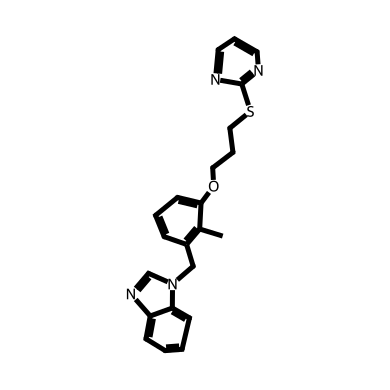 Cc1c(Cn2cnc3ccccc32)cccc1OCCCSc1ncccn1